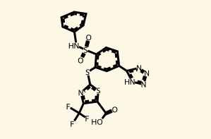 O=C(O)c1sc(Sc2cc(-c3nnn[nH]3)ccc2S(=O)(=O)Nc2ccccc2)nc1C(F)(F)F